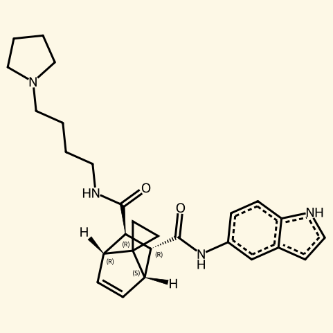 O=C(NCCCCN1CCCC1)[C@H]1[C@H](C(=O)Nc2ccc3[nH]ccc3c2)[C@@H]2C=C[C@H]1C21CC1